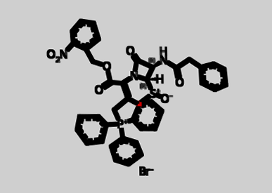 O=C(Cc1ccccc1)N[C@@H]1C(=O)N2C(C(=O)OCc3ccccc3[N+](=O)[O-])=C(C[P+](c3ccccc3)(c3ccccc3)c3ccccc3)C[S+]([O-])[C@H]12.[Br-]